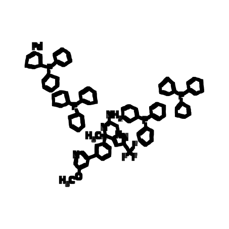 COc1cncc(-c2cccc([C@]3(C)N=C(N)Cn4nc(C(F)(F)F)cc43)c2)c1.[Pd].c1ccc(P(c2ccccc2)c2ccccc2)cc1.c1ccc(P(c2ccccc2)c2ccccc2)cc1.c1ccc(P(c2ccccc2)c2ccccc2)cc1.c1ccc(P(c2ccccc2)c2ccccc2)cc1